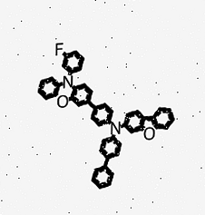 Fc1cccc(N2c3ccccc3Oc3cc(-c4ccc(N(c5ccc(-c6ccccc6)cc5)c5ccc6c(c5)oc5ccccc56)cc4)ccc32)c1